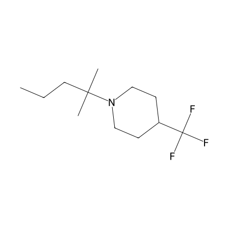 CCCC(C)(C)N1CCC(C(F)(F)F)CC1